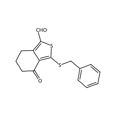 O=[C]c1sc(SCc2ccccc2)c2c1CCCC2=O